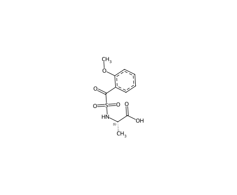 COc1ccccc1C(=O)S(=O)(=O)N[C@@H](C)C(=O)O